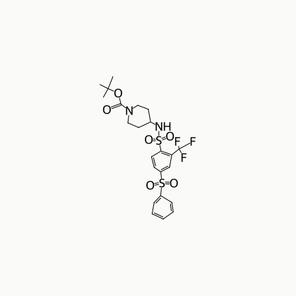 CC(C)(C)OC(=O)N1CCC(NS(=O)(=O)c2ccc(S(=O)(=O)c3ccccc3)cc2C(F)(F)F)CC1